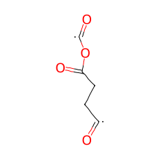 O=[C]CCC(=O)O[C]=O